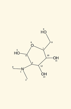 CN(C)C1C(O)OC(CO)C(O)C1O